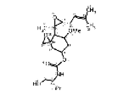 COC1CC(OC(=O)N[C@@H](CO)C(C)C)C[C@]2(CO2)C1[C@@]1(C)O[C@@H]1CC=C(C)C